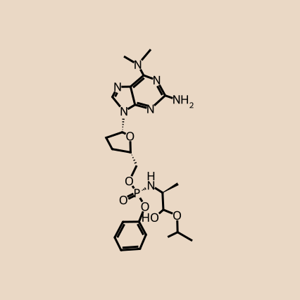 CC(C)OC(O)[C@H](C)N[P@](=O)(OC[C@@H]1CC[C@H](n2cnc3c(N(C)C)nc(N)nc32)O1)Oc1ccccc1